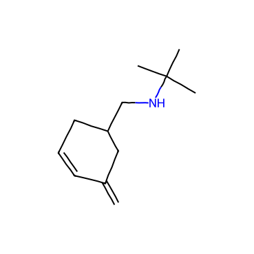 C=C1C=CCC(CNC(C)(C)C)C1